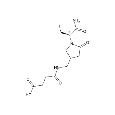 CC[C@@H](C(N)=O)N1CC(CNC(=O)CCC(=O)O)CC1=O